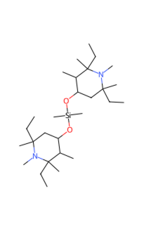 CCC1(C)CC(O[Si](C)(C)OC2CC(C)(CC)N(C)C(C)(CC)C2C)C(C)C(C)(CC)N1C